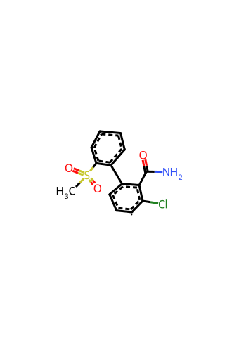 CS(=O)(=O)c1ccccc1-c1cc[c]c(Cl)c1C(N)=O